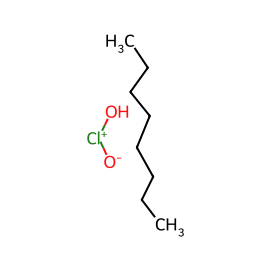 CCCCCCCC.[O-][Cl+]O